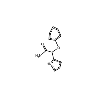 NC(=O)C(Oc1ccccc1)c1ncc[nH]1